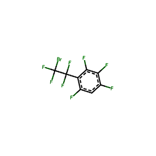 Fc1cc(F)c(C(F)(F)C(F)(F)Br)c(F)c1F